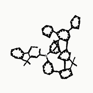 C/C=C1\C(=C/C(C)N(c2ccccc2)c2cccc(-c3cccc4c3-c3cc5c(cc3C4(C)C)-c3cc(-c4ccccc4)cc(-c4ccccc4)c3C5(C)C)c2)C(C)(C)c2ccccc21